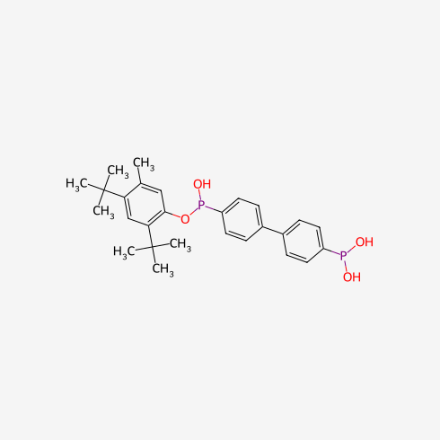 Cc1cc(OP(O)c2ccc(-c3ccc(P(O)O)cc3)cc2)c(C(C)(C)C)cc1C(C)(C)C